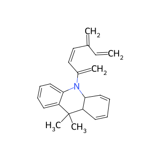 C=CC(=C)/C=C\C(=C)N1c2ccccc2C(C)(C)C2C=CC=CC21